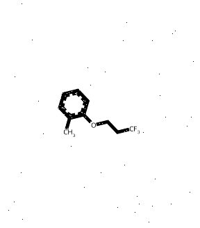 Cc1c[c]ccc1OCCC(F)(F)F